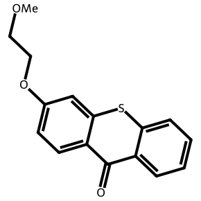 COCCOc1ccc2c(=O)c3ccccc3sc2c1